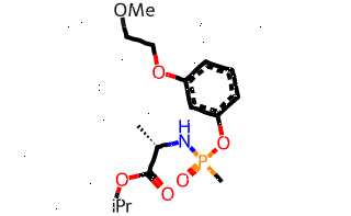 COCCOc1cccc(OP(C)(=O)N[C@@H](C)C(=O)OC(C)C)c1